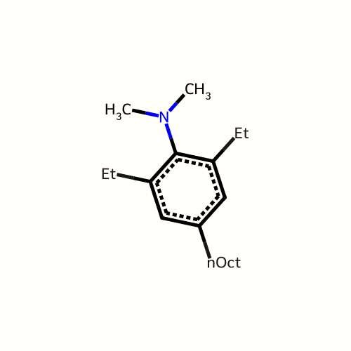 CCCCCCCCc1cc(CC)c(N(C)C)c(CC)c1